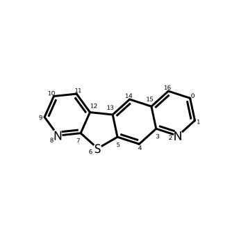 c1cnc2cc3sc4ncccc4c3cc2c1